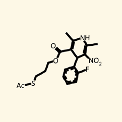 CC(=O)SCCCOC(=O)C1=C(C)NC(C)=C([N+](=O)[O-])C1c1ccccc1F